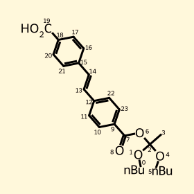 CCCCOC(C)(OCCCC)OC(=O)c1ccc(C=Cc2ccc(C(=O)O)cc2)cc1